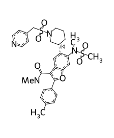 CNC(=O)c1c(-c2ccc(C)cc2)oc2cc(N(C)S(C)(=O)=O)c([C@H]3CCCN(S(=O)(=O)Cc4ccncc4)C3)cc12